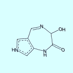 O=C1Nc2c[nH]cc2C=NC1O